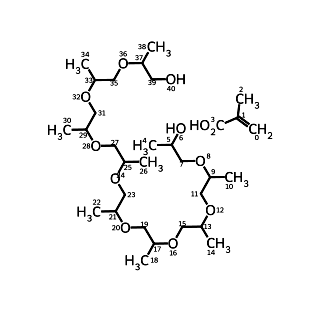 C=C(C)C(=O)O.CC(O)COC(C)COC(C)COC(C)COC(C)COC(C)COC(C)COC(C)COC(C)CO